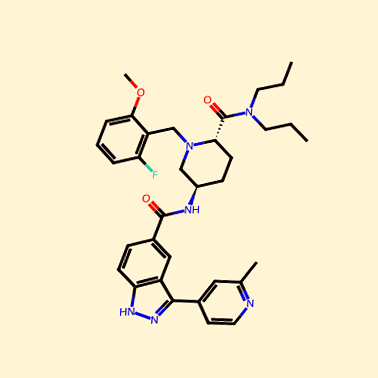 CCCN(CCC)C(=O)[C@@H]1CC[C@@H](NC(=O)c2ccc3[nH]nc(-c4ccnc(C)c4)c3c2)CN1Cc1c(F)cccc1OC